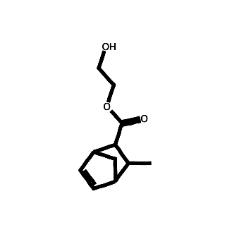 CC1C2C=CC(C2)C1C(=O)OCCO